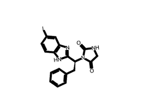 O=C1CNC(=O)N1[C@@H](Cc1ccccc1)c1nc2cc(I)ccc2[nH]1